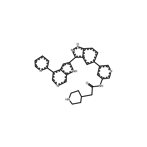 O=C(CC1CCNCC1)Nc1cncc(-c2ccc3[nH]nc(-c4cc5c(-c6ccccn6)cncc5[nH]4)c3c2)c1